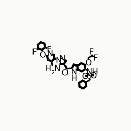 Cc1cc(Oc2c(F)cccc2F)ncc1-n1ncc(C(=O)c2cc3cc(OCC(F)F)c(NS(=O)(=O)Cc4ccccc4)cc3[nH]2)c1N